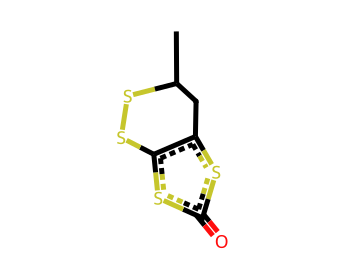 CC1Cc2sc(=O)sc2SS1